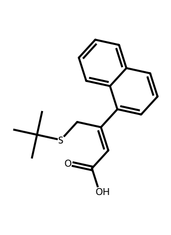 CC(C)(C)SCC(=CC(=O)O)c1cccc2ccccc12